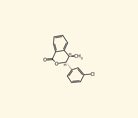 C[C@@H]1c2ccccc2C(=O)O[C@H]1c1cccc(Cl)c1